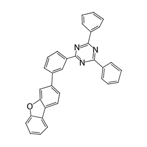 c1ccc(-c2nc(-c3ccccc3)nc(-c3cccc(-c4ccc5c(c4)oc4ccccc45)c3)n2)cc1